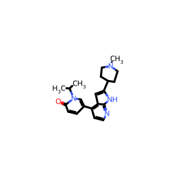 CC(C)n1cc(-c2ccnc3[nH]c(C4CCN(C)CC4)cc23)ccc1=O